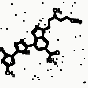 CCn1nc(C)cc1-c1nnc(-c2cc(C(N)=O)cc3c2cnn3CCN(C)CCOC)[nH]1